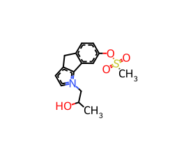 CC(O)Cn1ccc2c1-c1cc(OS(C)(=O)=O)ccc1C2